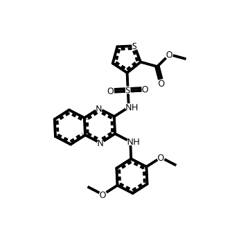 COC(=O)c1sccc1S(=O)(=O)Nc1nc2ccccc2nc1Nc1cc(OC)ccc1OC